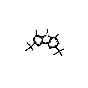 Cc1cc(C(C)(C)C)cc2c3cc(C(C)(C)C)cc(C)c3n(C)c12